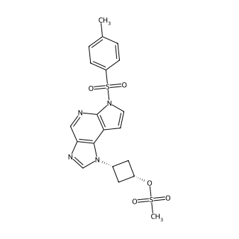 Cc1ccc(S(=O)(=O)n2ccc3c2ncc2ncn([C@H]4C[C@@H](OS(C)(=O)=O)C4)c23)cc1